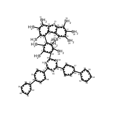 Bc1c(B)c(-c2c(B)c(B)c(B)c3sc4c(B)c(B)c(B)c(B)c4c23)c(B)c(B)c1-c1nc(-c2ccc(-c3ccccc3)cc2)nc(-c2ccc(-c3ccccc3)cc2)n1